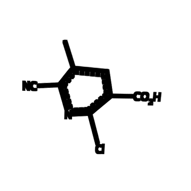 Cc1cc(C(=O)O)c(Cl)nc1C#N